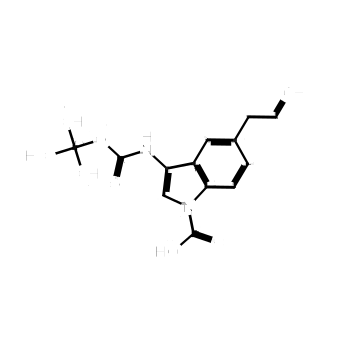 C=CCc1ccc2c(c1)c(NC(=O)OC(C)(C)C)cn2C(=O)O